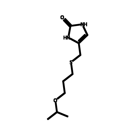 CC(C)OCCCSCc1c[nH]c(=O)[nH]1